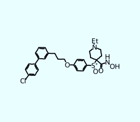 CCN1CCC(C(=O)NO)([S+]([O-])c2ccc(OCCCc3cccc(-c4ccc(Cl)cc4)c3)cc2)CC1